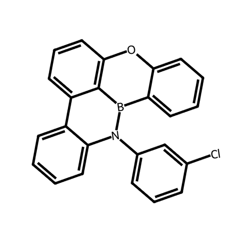 Clc1cccc(N2B3c4ccccc4Oc4cccc(c43)-c3ccccc32)c1